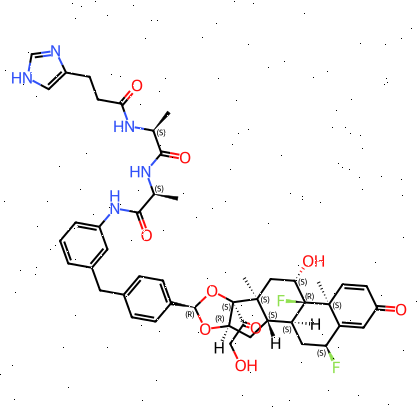 C[C@H](NC(=O)CCc1c[nH]cn1)C(=O)N[C@@H](C)C(=O)Nc1cccc(Cc2ccc([C@@H]3O[C@@H]4C[C@H]5[C@@H]6C[C@H](F)C7=CC(=O)C=C[C@]7(C)[C@@]6(F)[C@@H](O)C[C@]5(C)[C@]4(C(=O)CO)O3)cc2)c1